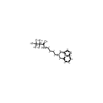 O=C(NCCCCN1Cc2cccc3ncc(n23)C1)C(F)(F)C(F)(F)F